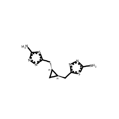 Nc1nnc(C[C@H]2C[C@@H]2Cc2nnc(N)s2)s1